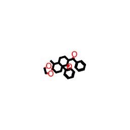 CC1C2CCC(C(=O)c3ccccc3)C(=O)C2(c2ccccc2)CCC12OCCO2